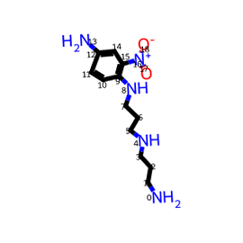 NCCCNCCCNc1ccc(N)cc1[N+](=O)[O-]